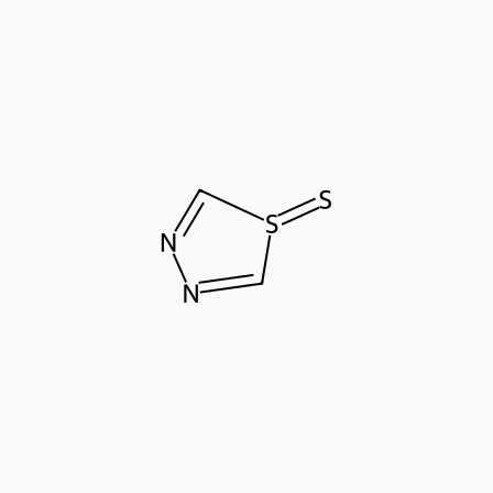 S=S1C=NN=C1